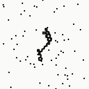 CN(CC1CCCC1)C(=O)CCCCCCOc1ccc2c(c1)N=C1NC(=O)CN1C2